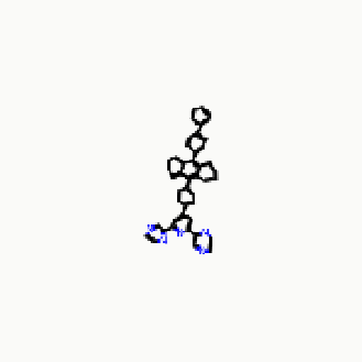 c1ccc(-c2ccc(-c3c4ccccc4c(-c4ccc(-c5cc(-c6cnccn6)nc(-c6cnccn6)c5)cc4)c4ccccc34)cc2)cc1